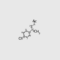 CC(=O)CSC(C)c1ccc(Cl)cc1